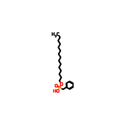 CCCCCCCCCCCCCCCOP(=O)(O)Cc1ccccc1